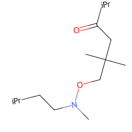 CC(C)CCN(C)OCC(C)(C)CC(=O)C(C)C